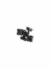 CC(C)(C)c1cc(-c2ccc3c(c2)B2c4ccccc4N(c4cccc(C(c5ccccc5)(c5ccccc5)c5ccccc5)c4)c4cc(-n5c6ccccc6c6ccccc65)cc(c42)N3c2ccc([Si](c3ccccc3)(c3ccccc3)c3ccccc3)cc2)cc(C(C)(C)C)c1